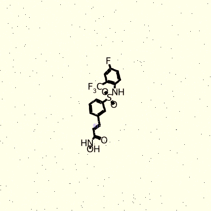 O=C(/C=C/c1cccc(S(=O)(=O)Nc2ccc(F)cc2C(F)(F)F)c1)NO